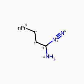 CCCCCC(N)[N+]#N